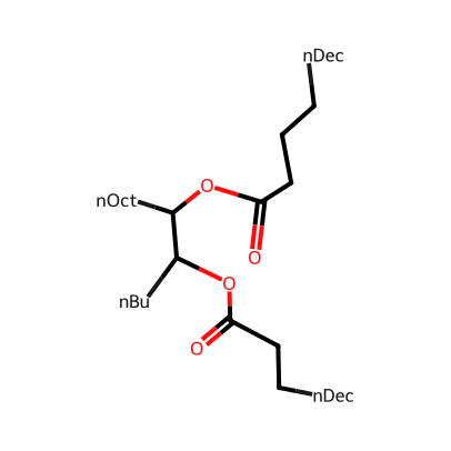 CCCCCCCCCCCCCC(=O)OC(CCCCCCCC)C(CCCC)OC(=O)CCCCCCCCCCCC